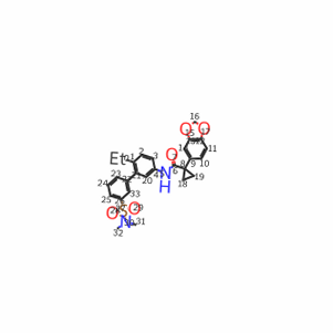 CCc1ccc(NC(=O)C2(c3ccc4c(c3)OCO4)CC2)cc1-c1cccc(S(=O)(=O)N(C)C)c1